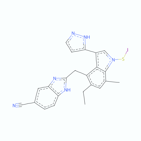 CCc1cc(C)c2c(c(-c3ccn[nH]3)cn2SI)c1Cc1nc2cc(C#N)ccc2[nH]1